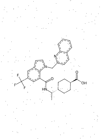 CC(NC(=O)c1cc(C(F)(F)F)cc2ccn(Cc3ccc4ccccc4n3)c12)[C@H]1CC[C@H](C(=O)O)CC1